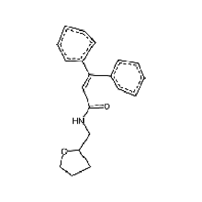 O=C(C=C(c1ccccc1)c1ccccc1)NCC1CCCO1